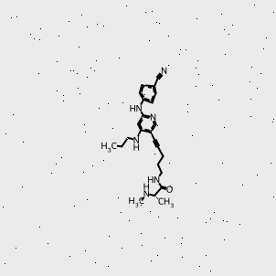 CCCNc1cc(Nc2ccc(C#N)cc2)ncc1C#CCCCNC(=O)[C@H](C)NC